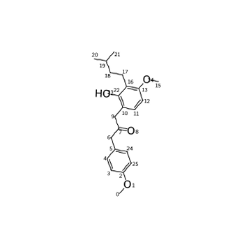 COc1ccc(CC(=O)Cc2ccc(OC)c(CCC(C)C)c2O)cc1